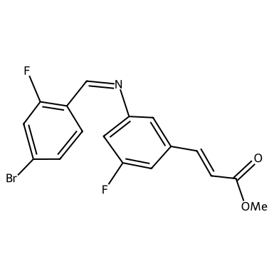 COC(=O)/C=C/c1cc(F)cc(/N=C\c2ccc(Br)cc2F)c1